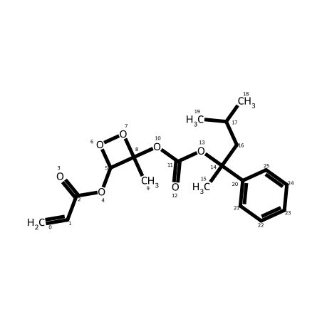 C=CC(=O)OC1OOC1(C)OC(=O)OC(C)(CC(C)C)c1ccccc1